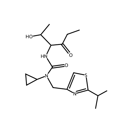 CCC(=O)C(NC(=O)N(Cc1csc(C(C)C)n1)C1CC1)C(C)O